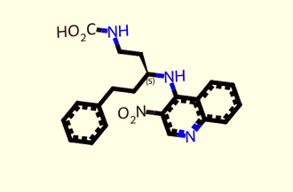 O=C(O)NCC[C@H](CCc1ccccc1)Nc1c([N+](=O)[O-])cnc2ccccc12